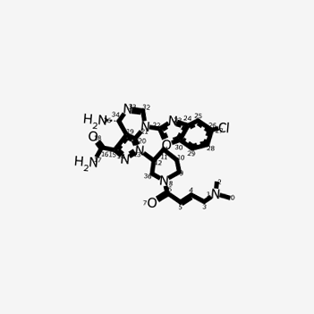 CN(C)C/C=C/C(=O)N1CCCC(n2nc(C(N)=O)c3c2N(c2nc4cc(Cl)ccc4o2)C=N[C@H]3N)C1